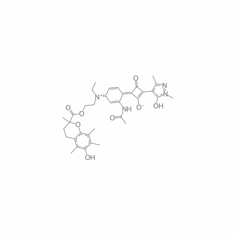 CC/[N+](CCOC(=O)C1(C)CCc2c(C)c(O)c(C)c(C)c2O1)=C1C=C/C(=C2\C(=O)C(c3c(C)nn(C)c3O)=C2[O-])C(NC(C)=O)=C\1